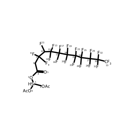 CC(=O)O[SiH](OC(C)=O)OC(=O)CC(F)(F)C(F)C(F)(F)C(F)(F)C(F)(F)C(F)(F)C(F)(F)C(F)(F)C(F)(F)C(F)(F)F